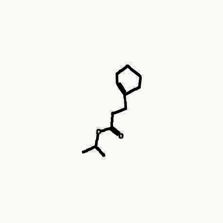 CC(C)OC(=O)CCC1=CCCCC1